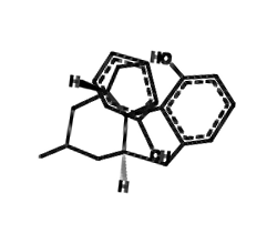 CC1C[C@@H]2Cc3cccc(O)c3C23c2c(O)cccc2C[C@H]3C1